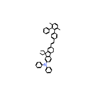 CCC1(CC)C2=C(CCC(/C=C/c3ccc(-c4c(C)ccc(C)c4-c4ccccc4)cc3)=C2)c2ccc(N(c3ccccc3)c3ccccc3)cc21